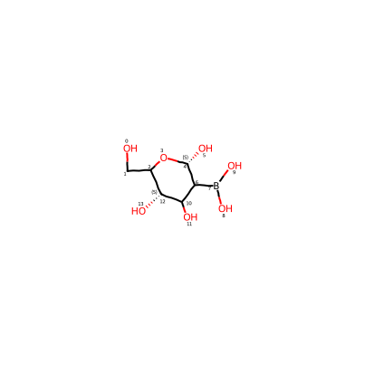 OCC1O[C@H](O)C(B(O)O)C(O)[C@@H]1O